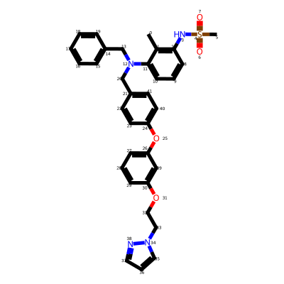 Cc1c(NS(C)(=O)=O)cccc1N(Cc1ccccc1)Cc1ccc(Oc2cccc(OCCn3cccn3)c2)cc1